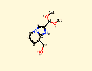 CCOC(OCC)c1cn2cccc(CO)c2n1